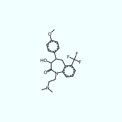 COc1ccc(C2Cc3c(cccc3C(F)(F)F)N(CCN(C)C)C(=O)C2O)cc1